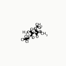 CO[C@@H]1C(=O)N(C(C(=O)OCC(Cl)(Cl)Cl)=C(C)C)[C@@H]1OC(C)=O